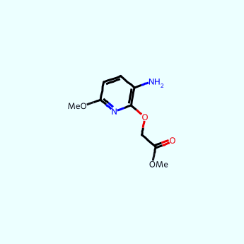 COC(=O)COc1nc(OC)ccc1N